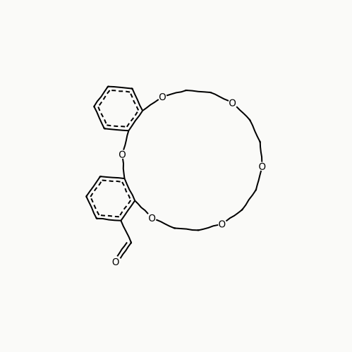 O=Cc1cccc2c1OCCOCCOCCOCCOc1ccccc1O2